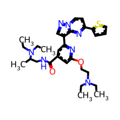 CCN(CC)CCOc1cc(C(=O)NCC(C)N(CC)CC)cc(-c2cnn3ccc(-c4cccs4)nc23)n1